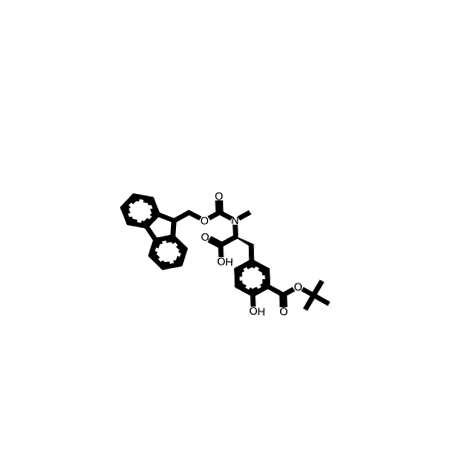 CN(C(=O)OCC1c2ccccc2-c2ccccc21)[C@@H](Cc1ccc(O)c(C(=O)OC(C)(C)C)c1)C(=O)O